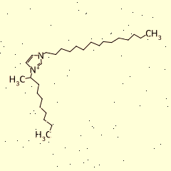 CCCCCCCCCCCCCCCn1cc[n+](C(C)CCCCCCCC)c1